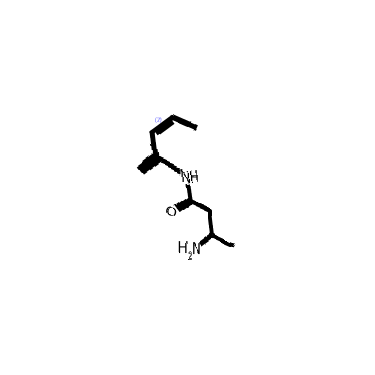 C=C(/C=C\C)NC(=O)CC(C)N